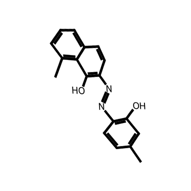 Cc1ccc(N=Nc2ccc3cccc(C)c3c2O)c(O)c1